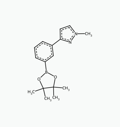 Cn1ccc(-c2cccc(B3OC(C)(C)C(C)(C)O3)c2)n1